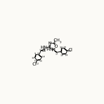 CC(=O)N=C(NN=Cc1ccc(Cl)cc1)NN=Cc1ccc(Cl)cc1